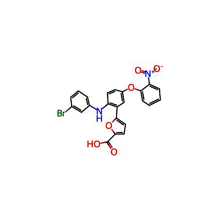 O=C(O)c1ccc(-c2cc(Oc3ccccc3[N+](=O)[O-])ccc2Nc2cccc(Br)c2)o1